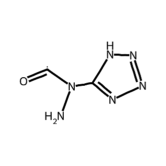 NN([C]=O)c1nnn[nH]1